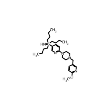 CCCCS(=N)(CCCC)(CCCC)c1ccc(N2CCN(Cc3ccc(OC)nc3)CC2)nc1